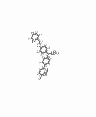 Cc1ccc(-c2ccc(C(c3ccc(OCc4ccccn4)cc3)C(C)(C)C)cc2)nn1